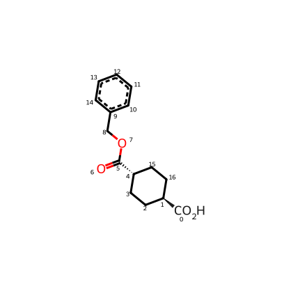 O=C(O)[C@H]1CC[C@H](C(=O)OCc2ccccc2)CC1